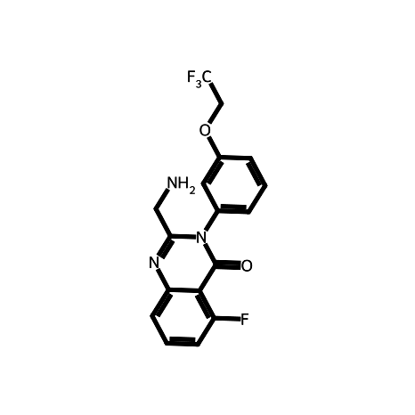 NCc1nc2cccc(F)c2c(=O)n1-c1cccc(OCC(F)(F)F)c1